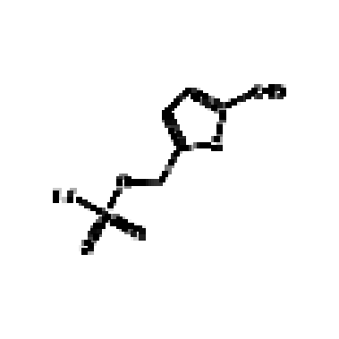 O=Cc1ccc(COS(=O)(=O)C(F)(F)F)o1